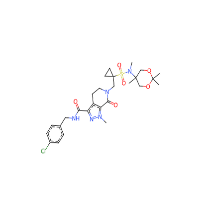 CN(C1(C)COC(C)(C)OC1)S(=O)(=O)C1(CN2CCc3c(C(=O)NCc4ccc(Cl)cc4)nn(C)c3C2=O)CC1